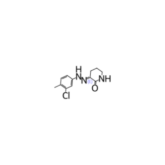 Cc1ccc(N/N=C2\CCCNC2=O)cc1Cl